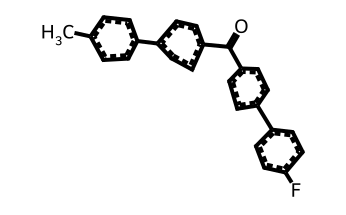 Cc1ccc(-c2ccc(C(=O)c3ccc(-c4ccc(F)cc4)cc3)cc2)cc1